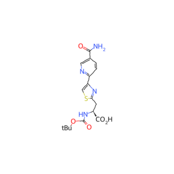 CC(C)(C)OC(=O)N[C@@H](Cc1nc(-c2ccc(C(N)=O)cn2)cs1)C(=O)O